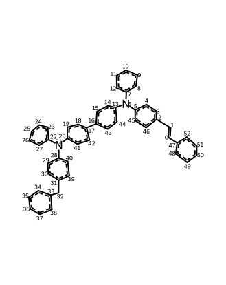 C(=Cc1ccc(N(c2ccccc2)c2ccc(-c3ccc(N(c4ccccc4)c4ccc(Cc5ccccc5)cc4)cc3)cc2)cc1)c1ccccc1